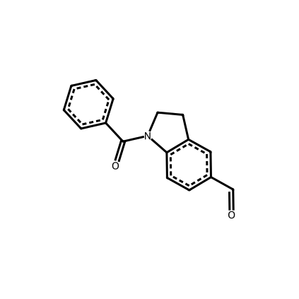 O=Cc1ccc2c(c1)CCN2C(=O)c1ccccc1